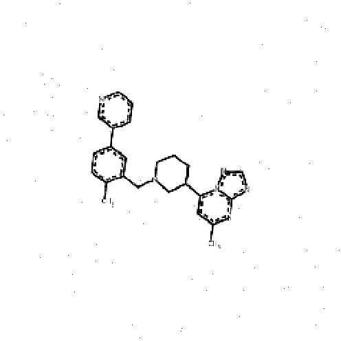 Cc1cc(C2CCCN(Cc3cc(-c4cccnc4)ccc3C)C2)n2ncnc2n1